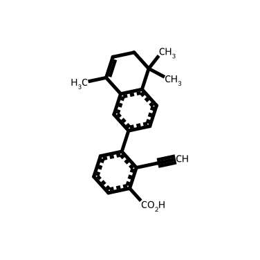 C#Cc1c(C(=O)O)cccc1-c1ccc2c(c1)C(C)=CCC2(C)C